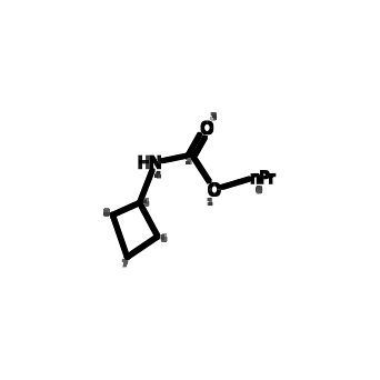 CCCOC(=O)NC1CCC1